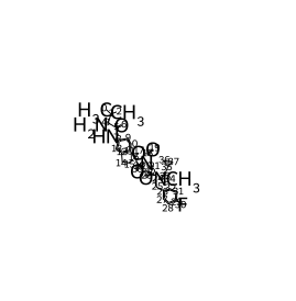 CC(C)[C@@H](N)C(=O)Nc1ccc2c(c1)CC[C@]21OC(=O)N(CC(=O)N(Cc2ccc(F)cc2)[C@@H](C)C2CC2)C1=O